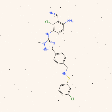 CN1NC(c2ccc(CNSc3cccc(Cl)c3)cc2)N=C1Nc1ccc(N)c(C=N)c1Cl